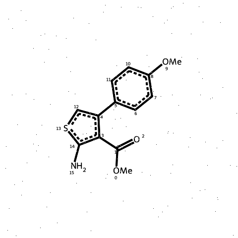 COC(=O)c1c(-c2ccc(OC)cc2)csc1N